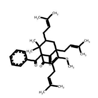 COC1=C(CC=C(C)C)C(=O)C2(C(=O)c3ccccc3)C(=O)C1(CC=C(C)C)CC(CC=C(C)C)C2(C)C